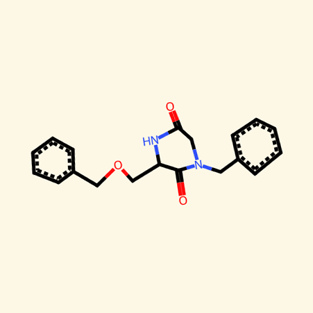 O=C1CN(Cc2ccccc2)C(=O)C(COCc2ccccc2)N1